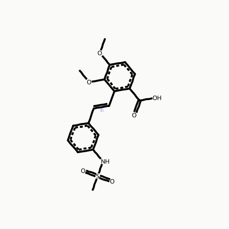 COc1ccc(C(=O)O)c(/C=C/c2cccc(NS(C)(=O)=O)c2)c1OC